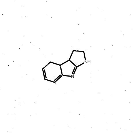 C1=CCC2C(=C1)N=C1NCCC12